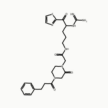 N=C(N)NC(CCCNC(=O)CN1CCN(C(=O)CCc2ccccc2)CC1=O)C(=O)c1nccs1